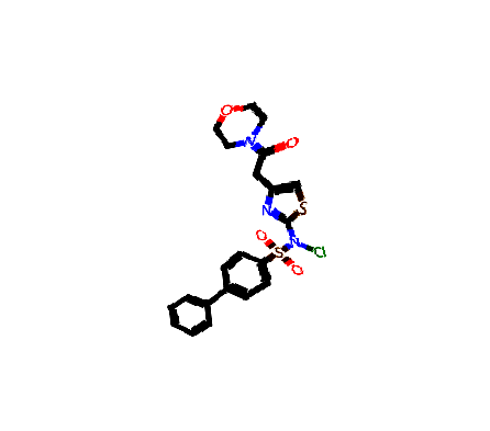 O=C(Cc1csc(N(Cl)S(=O)(=O)c2ccc(-c3ccccc3)cc2)n1)N1CCOCC1